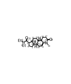 CCN(CC)C(=O)C1CC[C@H]2[C@@H]3CC=C4N(C)C(=O)CC[C@]4(C)[C@@H]3CC[C@]12C